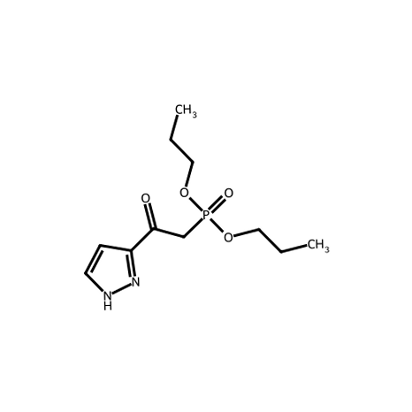 CCCOP(=O)(CC(=O)c1cc[nH]n1)OCCC